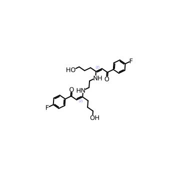 O=C(/C=C(/CCCO)NCCN/C(=C\C(=O)c1ccc(F)cc1)CCCO)c1ccc(F)cc1